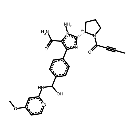 CC#CC(=O)N1CCC[C@H]1c1nc(-c2ccc(C(O)Nc3cc(OC)ccn3)cc2)c(C(N)=O)n1N